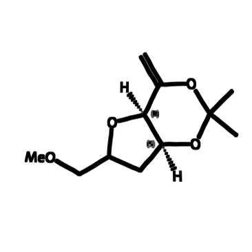 C=C1OC(C)(C)O[C@H]2CC(COC)O[C@@H]12